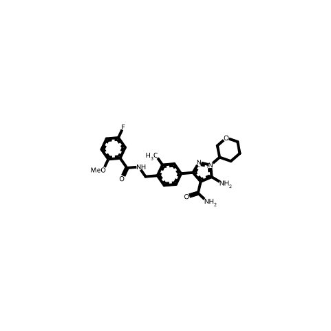 COc1ccc(F)cc1C(=O)NCc1ccc(-c2nn(C3CCCOC3)c(N)c2C(N)=O)cc1C